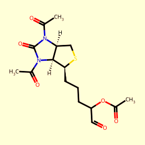 CC(=O)OC(C=O)CCC[C@@H]1SC[C@H]2[C@@H]1N(C(C)=O)C(=O)N2C(C)=O